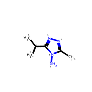 Cc1nnc(C(C)C)n1N